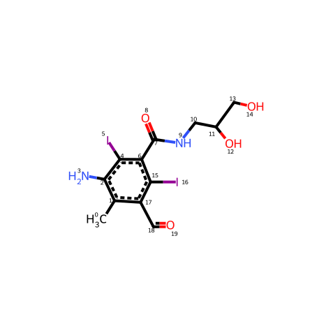 Cc1c(N)c(I)c(C(=O)NCC(O)CO)c(I)c1C=O